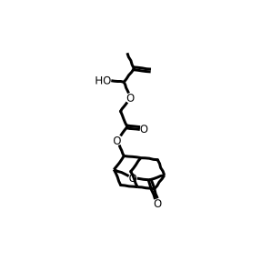 C=C(C)C(O)OCC(=O)OC1C2CC3CC(C2)C(=O)OC1C3